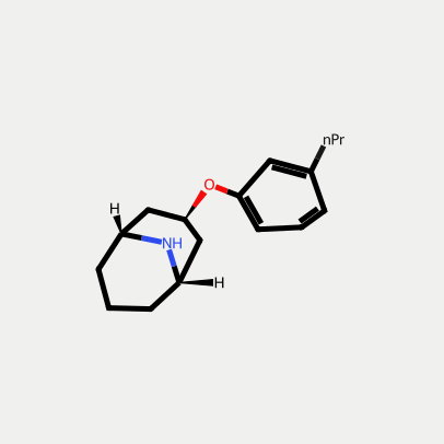 CCCc1cccc(O[C@@H]2C[C@H]3CCC[C@@H](C2)N3)c1